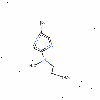 COCCN(C)c1cnc(C(C)(C)C)cn1